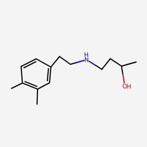 Cc1ccc(CCNCCC(C)O)cc1C